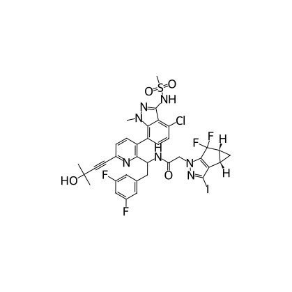 Cn1nc(NS(C)(=O)=O)c2c(Cl)ccc(-c3ccc(C#CC(C)(C)O)nc3C(Cc3cc(F)cc(F)c3)NC(=O)Cn3nc(I)c4c3C(F)(F)[C@@H]3C[C@H]43)c21